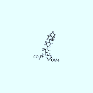 CCOC(=O)C[C@@H](c1ccc(OC)nc1)N1CC(c2ccc(-c3ccc4c(n3)NCCC4)cc2)C1=O